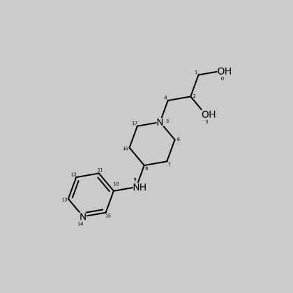 OCC(O)CN1CCC(Nc2cccnc2)CC1